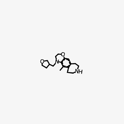 Cc1c2c(cc3c1N(CC1CCOC1)CCO3)CCNCC2